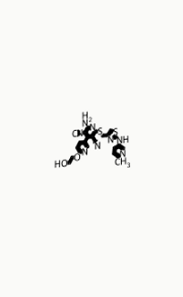 [C-]#[N+]c1c(N)nc(SCc2csc(Nc3ccc(C)nc3)n2)c(C#N)c1-c1ccc(OCCO)nc1